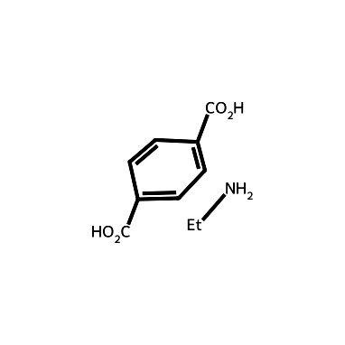 CCN.O=C(O)c1ccc(C(=O)O)cc1